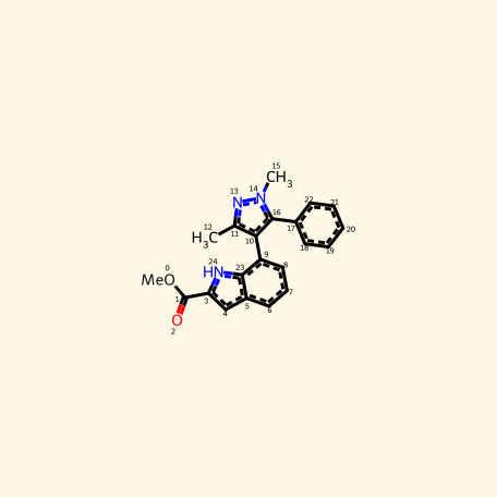 COC(=O)c1cc2cccc(-c3c(C)nn(C)c3-c3ccccc3)c2[nH]1